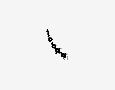 CCCCCC[C@H]1CC[C@H](CCC2CCC(c3cc(F)c(CCc4ccc(Cl)c(F)c4)c(F)c3)CC2)CC1